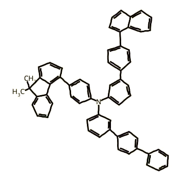 CC1(C)c2ccccc2-c2c(-c3ccc(N(c4cccc(-c5ccc(-c6ccccc6)cc5)c4)c4cccc(-c5ccc(-c6cccc7ccccc67)cc5)c4)cc3)cccc21